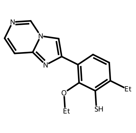 CCOc1c(-c2cn3cnccc3n2)ccc(CC)c1S